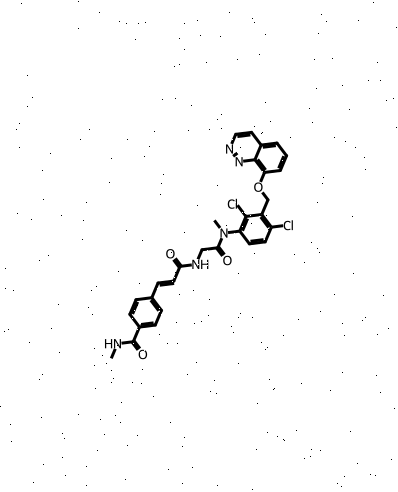 CNC(=O)c1ccc(C=CC(=O)NCC(=O)N(C)c2ccc(Cl)c(COc3cccc4ccnnc34)c2Cl)cc1